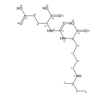 CCC(C)NCCCCC(NC(=O)NC(CCC(=O)O)C(=O)O)C(=O)O